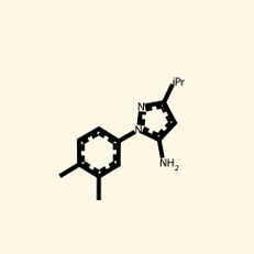 Cc1ccc(-n2nc(C(C)C)cc2N)cc1C